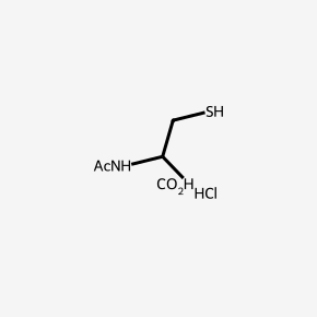 CC(=O)NC(CS)C(=O)O.Cl